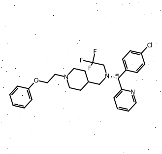 FC(F)(F)CN(CC1CCN(CCOc2ccccc2)CC1)[C@H](c1ccc(Cl)cc1)c1ccccn1